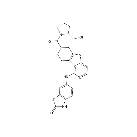 O=C(C1CCc2c(sc3ncnc(Nc4ccc5[nH]c(=O)sc5c4)c23)C1)N1CCCC1CO